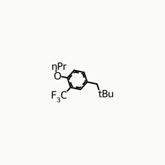 CCCOc1ccc(CC(C)(C)C)cc1C(F)(F)F